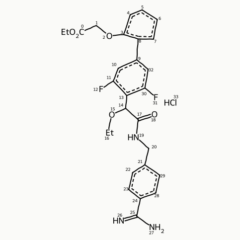 CCOC(=O)COc1ccccc1-c1cc(F)c(C(OCC)C(=O)NCc2ccc(C(=N)N)cc2)c(F)c1.Cl